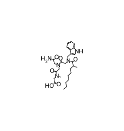 CCCCCCCC(C)C(=O)N(CC(=O)N(CC(N)=O)CC(=O)N(C)CC(=O)O)Cc1c[nH]c2ccccc12